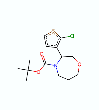 CC(C)(C)OC(=O)N1CCCOCC1c1ccsc1Cl